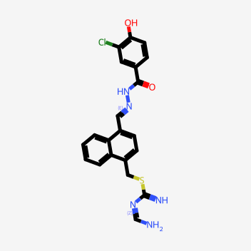 N=C(/N=C\N)SCc1ccc(/C=N/NC(=O)c2ccc(O)c(Cl)c2)c2ccccc12